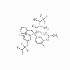 CC(C)Oc1cc([C@@](Cc2ccccc2)(NC(=O)C(N)C(O)C(F)(F)F)c2cc(F)cc(OC(F)(F)C(F)F)c2)ccc1F